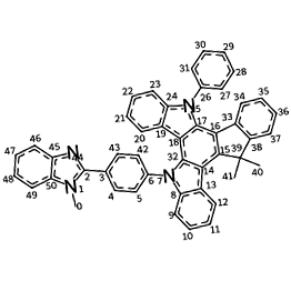 Cn1c(-c2ccc(-n3c4ccccc4c4c5c(c6c(c7ccccc7n6-c6ccccc6)c43)-c3ccccc3C5(C)C)cc2)nc2ccccc21